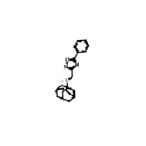 c1ccc(-c2nc(CNC34CC5CC(CC(C5)C3)C4)no2)cc1